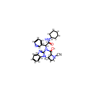 Cn1c(N(C(=O)C2CCCN2C#N)C(C(=O)NC2CCCCC2)c2cccnc2)nc2ccccc21